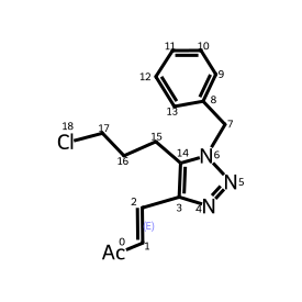 CC(=O)/C=C/c1nnn(Cc2ccccc2)c1CCCCl